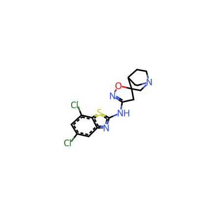 Clc1cc(Cl)c2sc(NC3=NOC4(C3)CN3CCC4CC3)nc2c1